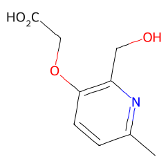 Cc1ccc(OCC(=O)O)c(CO)n1